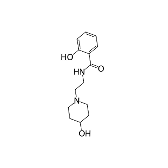 O=C(NCCN1CCC(O)CC1)c1ccccc1O